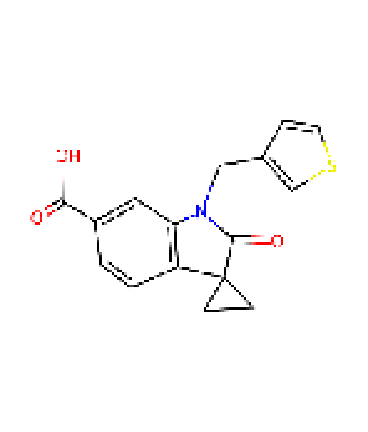 O=C(O)c1ccc2c(c1)N(Cc1ccsc1)C(=O)C21CC1